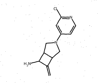 C=C1C(N)C2CN(c3ccnc(Cl)c3)CC12